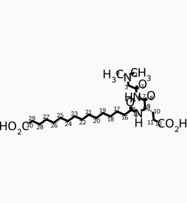 CN(C)CC(=O)NC(=O)[C@H](CCC(=O)O)NC(=O)CCCCCCCCCCCCCCC(=O)O